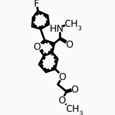 CNC(=O)c1c(-c2ccc(F)cc2)oc2ccc(OCC(=O)OC)cc12